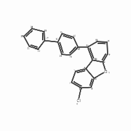 Clc1ccc2c(c1)oc1cccc(-c3ccc(-c4ccccc4)cc3)c12